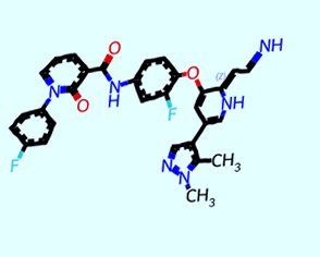 Cc1c(C2=CN/C(=C\C=N)C(Oc3ccc(NC(=O)c4cccn(-c5ccc(F)cc5)c4=O)cc3F)=C2)cnn1C